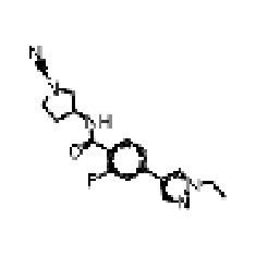 CCn1cc(-c2ccc(C(=O)NC3CCN(C#N)C3)c(F)c2)cn1